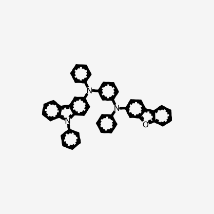 c1ccc(N(c2cccc(N(c3ccccc3)c3ccc4c(c3)c3ccccc3n4-c3ccccc3)c2)c2ccc3c(c2)oc2ccccc23)cc1